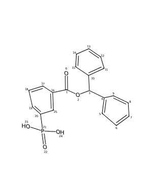 O=C(OC(c1ccccc1)c1ccccc1)c1cccc(P(=O)(O)O)c1